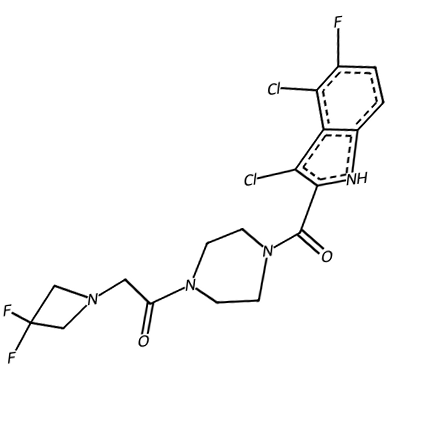 O=C(CN1CC(F)(F)C1)N1CCN(C(=O)c2[nH]c3ccc(F)c(Cl)c3c2Cl)CC1